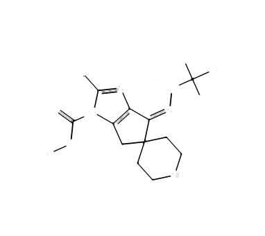 CCC(C)(C)[S@@+]([O-])/N=C1\C2=C(CC13CCNCC3)[SH](C(=O)OC(C)(C)C)C(Cl)=N2